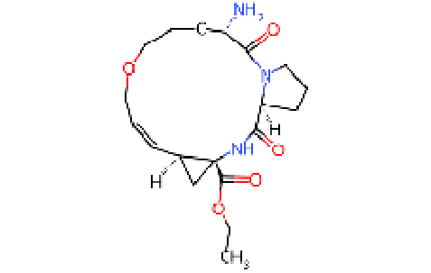 CCOC(=O)[C@@]12C[C@H]1/C=C\COCCC[C@H](N)C(=O)N1CCC[C@H]1C(=O)N2